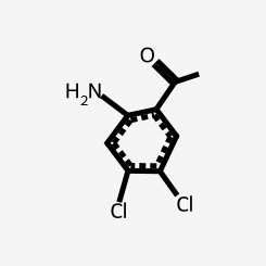 CC(=O)c1cc(Cl)c(Cl)cc1N